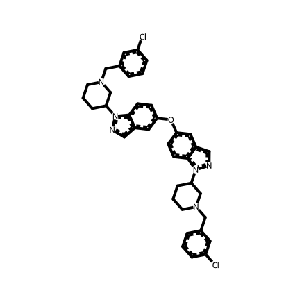 Clc1cccc(CN2CCCC(n3ncc4cc(Oc5ccc6c(cnn6C6CCCN(Cc7cccc(Cl)c7)C6)c5)ccc43)C2)c1